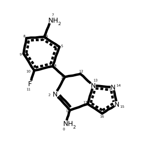 NC1=NC(c2cc(N)ccc2F)Cn2nncc21